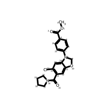 COC(=O)c1ccc(N2COc3cc(C(=O)N4CCCC4)c(Cl)cc32)cc1